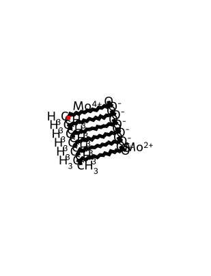 CC(C)CCCCCCCCCCCCCCC(=O)[O-].CC(C)CCCCCCCCCCCCCCC(=O)[O-].CC(C)CCCCCCCCCCCCCCC(=O)[O-].CC(C)CCCCCCCCCCCCCCC(=O)[O-].CC(C)CCCCCCCCCCCCCCC(=O)[O-].CC(C)CCCCCCCCCCCCCCC(=O)[O-].[Mo+4].[S]=[Mo+2]